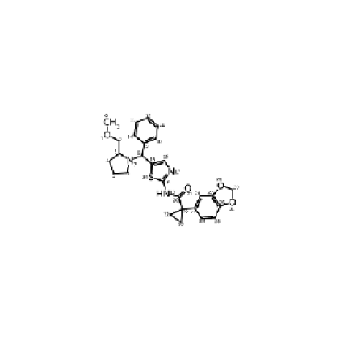 COCC1CCCN1C(c1ccccc1)c1cnc(NC(=O)C2(c3ccc4c(c3)OCO4)CC2)s1